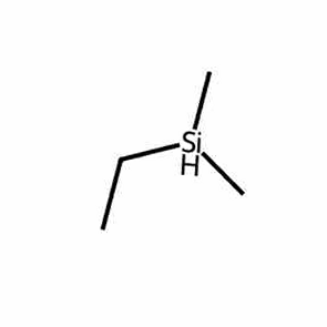 CC[SiH](C)C